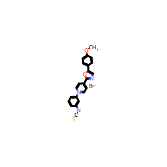 COc1ccc(-c2cnc(-c3cc[n+](-c4cccc(N=C=S)c4)cc3)o2)cc1.[Br-]